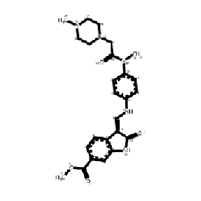 COC(=O)c1ccc2c(c1)NC(=O)C2=CNc1ccc(N(C)C(=O)CN2CCN(C)CC2)cc1